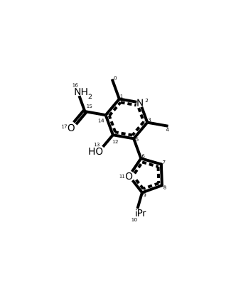 Cc1nc(C)c(-c2ccc(C(C)C)o2)c(O)c1C(N)=O